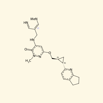 CN/C=C(\C=N)CNc1cc(OC[C@H]2C[C@@H]2c2ccc3c(n2)CCC3)nn(C)c1=O